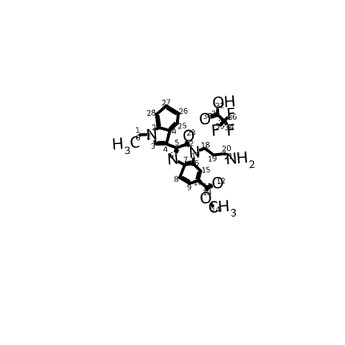 CCn1cc(-c2nc3ccc(C(=O)OC)cc3n(CCCN)c2=O)c2ccccc21.O=C(O)C(F)(F)F